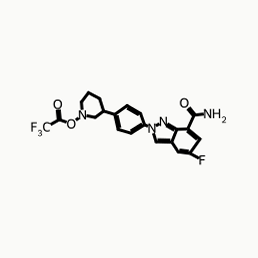 NC(=O)c1cc(F)cc2cn(-c3ccc(C4CCCN(OC(=O)C(F)(F)F)C4)cc3)nc12